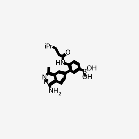 Cc1nnc(N)c2ccc(-c3cc(B(O)O)ccc3NC(=O)CCC(C)C)cc12